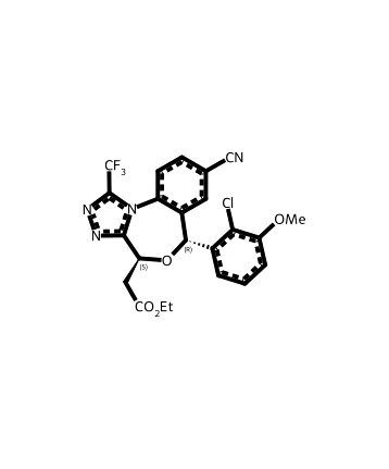 CCOC(=O)C[C@@H]1O[C@@H](c2cccc(OC)c2Cl)c2cc(C#N)ccc2-n2c1nnc2C(F)(F)F